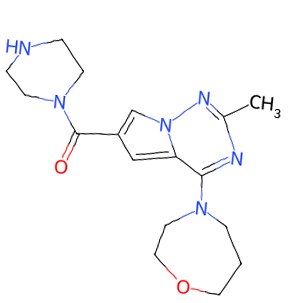 Cc1nc(N2CCCOCC2)c2cc(C(=O)N3CCNCC3)cn2n1